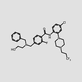 O=C(Nc1ccc(Cl)cc1N1CCN(CCC(F)(F)F)CC1)c1ccc(CN(CCO)Cc2ccccc2)cc1F